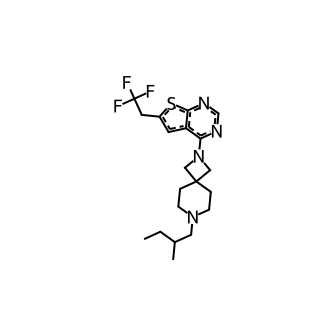 CCC(C)CN1CCC2(CC1)CN(c1ncnc3sc(CC(F)(F)F)cc13)C2